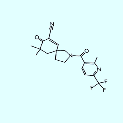 Cc1nc(C(F)(F)F)ccc1C(=O)N1CC[C@@]2(C=C(C#N)C(=O)C(C)(C)C2)C1